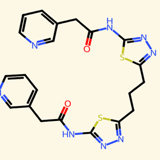 O=C(Cc1cccnc1)Nc1nnc(CCCc2nnc(NC(=O)Cc3cccnc3)s2)s1